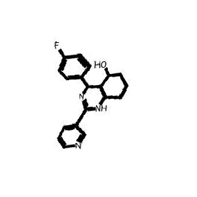 OC1CCCC2NC(c3cccnc3)=NC(c3ccc(F)cc3)C12